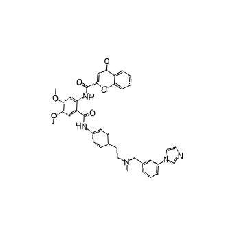 COc1cc(NC(=O)c2cc(=O)c3ccccc3o2)c(C(=O)Nc2ccc(CCN(C)Cc3cccc(-n4ccnc4)c3)cc2)cc1OC